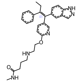 CC/C(=C(/c1ccc(OCCNCCCC(=O)NC)nc1)c1ccc2[nH]ncc2c1)c1ccccc1